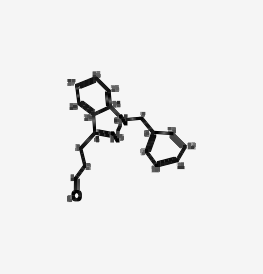 O=CCCc1nn(Cc2ccccc2)c2ccccc12